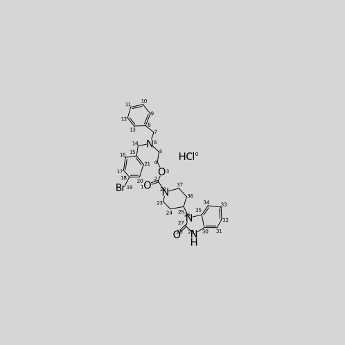 Cl.O=C(OCCN(Cc1ccccc1)Cc1ccc(Br)cc1)N1CCC(n2c(=O)[nH]c3ccccc32)CC1